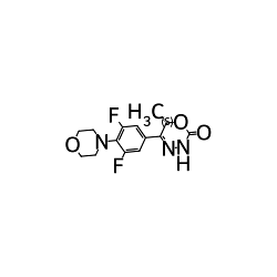 C[C@@H]1OC(=O)NN=C1c1cc(F)c(N2CCOCC2)c(F)c1